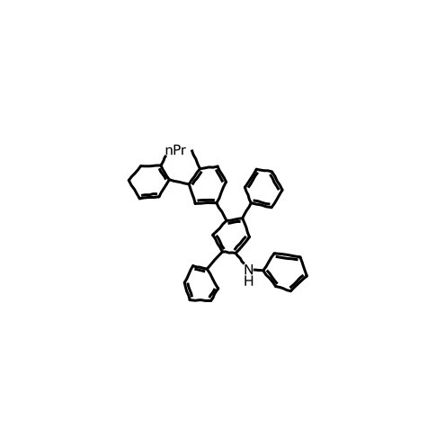 CCCC1=C(c2cc(-c3cc(-c4ccccc4)c(Nc4ccccc4)cc3-c3ccccc3)ccc2C)C=CCC1